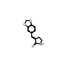 O=C1NCC/C1=C\c1ccc2c(c1)OCO2